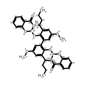 CCCC(C)c1cc(OC)cc(-c2cc(OC)cc(C(C)CCC)c2OP2OC(=O)c3ccccc3O2)c1OP1OC(=O)c2ccccc2O1